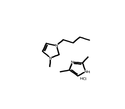 CCCCN1C=CN(C)C1.Cc1c[nH]c(C)n1.Cl